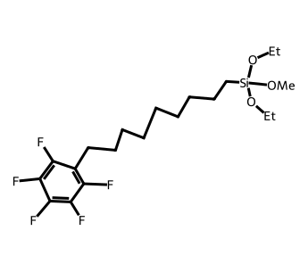 CCO[Si](CCCCCCCCCc1c(F)c(F)c(F)c(F)c1F)(OC)OCC